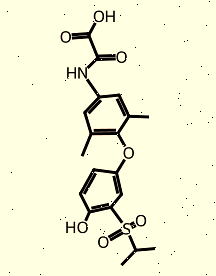 Cc1cc(NC(=O)C(=O)O)cc(C)c1Oc1ccc(O)c(S(=O)(=O)C(C)C)c1